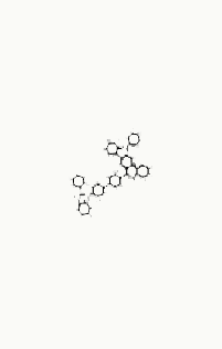 c1ccc(-c2nc3ccccc3n2-c2ccc(-c3ccc(-c4nc5ccccc5c5cc6c(cc45)c4ccccc4n6-c4ccccc4)cc3)cc2)cc1